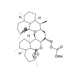 COC(=O)O/N=C(/C[C@H]1O[C@@H]2C[C@]3(C)CC[C@H]4[C@H](C)CC[C@@H]([C@H]1C)[C@@]24OO3)[C@H]1O[C@@H]2C[C@]3(C)CC[C@H]4[C@H](C)CC[C@@H]([C@H]1C)[C@@]24OO3